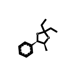 [CH2][C@@H]1OC(CC)(CC)O[C@H]1c1ccccc1